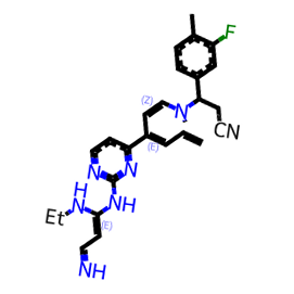 C=C/C=C(\C=C/N(C)C(CC#N)c1ccc(C)c(F)c1)c1ccnc(N/C(=C/C=N)NCC)n1